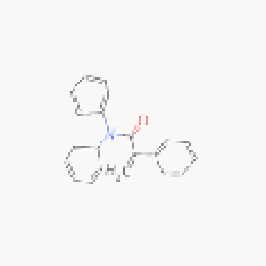 C=C(C(=O)N(c1ccccc1)c1ccccc1)c1ccccc1